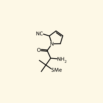 CSC(C)(C)C(N)C(=O)N1CC=CC1C#N